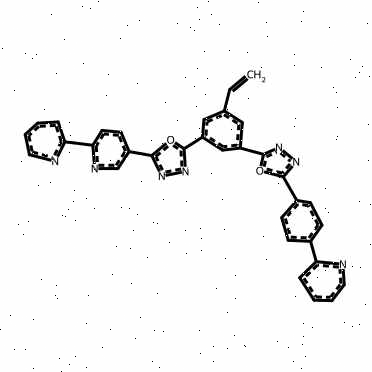 C=Cc1cc(-c2nnc(-c3ccc(-c4ccccn4)cc3)o2)cc(-c2nnc(-c3ccc(-c4ccccn4)nc3)o2)c1